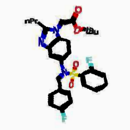 CCCc1nc2cc(N(Cc3ccc(F)cc3)S(=O)(=O)c3ccccc3F)ccc2n1CC(=O)OC(C)(C)C